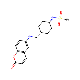 CC(C)S(=O)(=O)N[C@H]1CC[C@H](CNc2ccc3oc(=O)ccc3c2)CC1